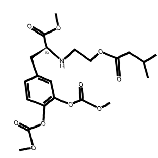 COC(=O)Oc1ccc(C[C@H](NCCOC(=O)CC(C)C)C(=O)OC)cc1OC(=O)OC